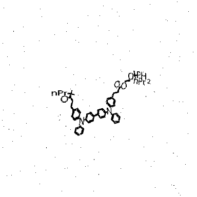 CCCC(C)(C)C(=O)CCc1ccc(N(c2ccccc2)c2ccc(-c3ccc(N(c4ccccc4)c4ccc(CCC(=O)OCCO[C@](C)(P)CCC)cc4)cc3)cc2)cc1